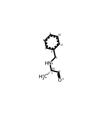 C[C@@H]([C]=O)NCc1ccccc1